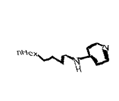 CCCCCCCCCCNc1ccncc1